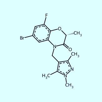 Cc1nn(C)c(C)c1CN1C(=O)[C@@H](C)Oc2c(F)cc(Br)cc21